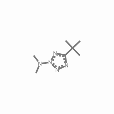 CN(C)n1nnc(C(C)(C)C)n1